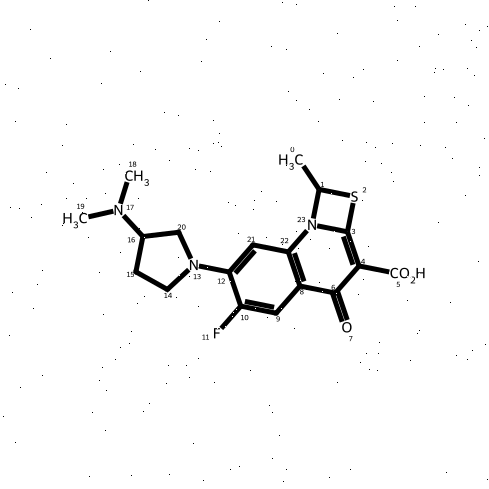 CC1Sc2c(C(=O)O)c(=O)c3cc(F)c(N4CCC(N(C)C)C4)cc3n21